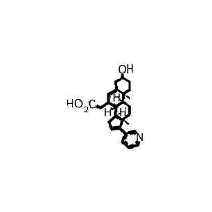 C[C@]12CCC(O)CC1=CC(CC(=O)O)[C@@H]1[C@H]2CC[C@]2(C)C(c3cccnc3)=CC[C@@H]12